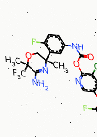 CC1(c2cc(NC(=O)Oc3ncc(OC(F)F)cc3Cl)ccc2F)COC(C)(C(F)(F)F)C(N)=N1